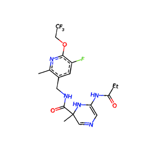 CCC(=O)NC1=CN=CC(C)(C(=O)NCc2cc(F)c(OCC(F)(F)F)nc2C)N1